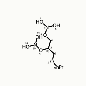 CCCOC[C@H](CON(O)O)ON(O)O